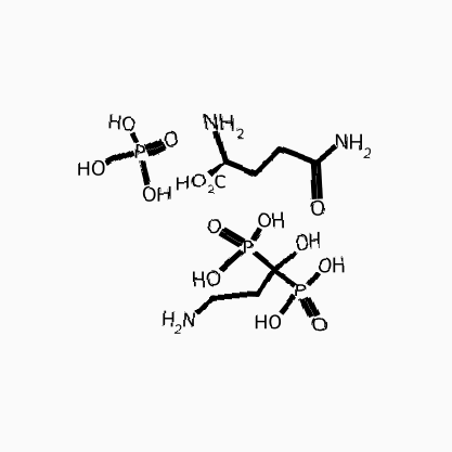 NC(=O)CC[C@H](N)C(=O)O.NCCC(O)(P(=O)(O)O)P(=O)(O)O.O=P(O)(O)O